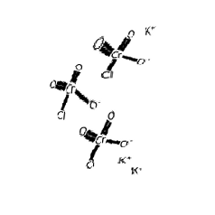 [K+].[K+].[K+].[O]=[Cr](=[O])([O-])[Cl].[O]=[Cr](=[O])([O-])[Cl].[O]=[Cr](=[O])([O-])[Cl]